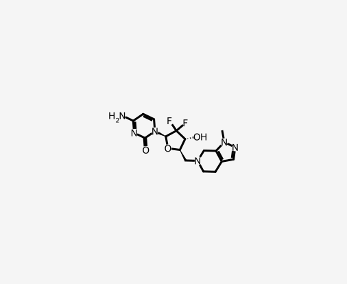 Cn1ncc2c1CN(C[C@H]1O[C@@H](n3ccc(N)nc3=O)C(F)(F)[C@@H]1O)CC2